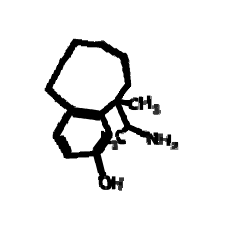 CC(N)C1(C)CCCCCCc2ccc(O)cc21